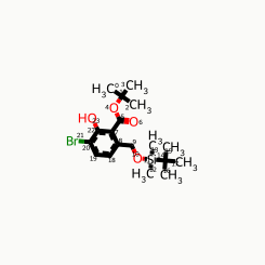 CC(C)(C)OC(=O)c1c(CO[Si](C)(C)C(C)(C)C)ccc(Br)c1O